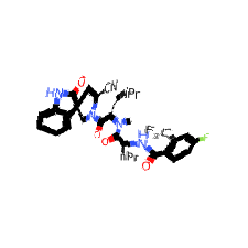 CCC[C@H](NC(=O)c1ccc(F)cc1C(F)(F)F)C(=O)N(C)[C@@H](CC(C)C)C(=O)N1C[C@]2(C[C@H]1C#N)C(=O)Nc1ccccc12